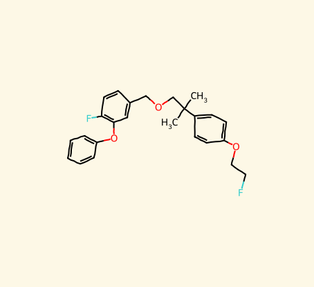 CC(C)(COCc1ccc(F)c(Oc2ccccc2)c1)c1ccc(OCCF)cc1